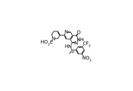 C[C@@H](Nc1n[nH]c(=O)c2cnc(C3=CCCN(C(=O)O)C3)cc12)c1cc([N+](=O)[O-])cc(C(F)(F)F)c1